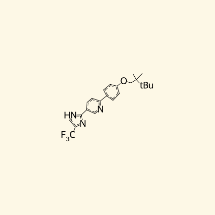 CC(C)(C)C(C)(C)COc1ccc(-c2ccc(-c3nc(C(F)(F)F)c[nH]3)cn2)cc1